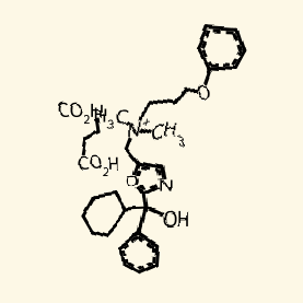 C[N+](C)(CCCOc1ccccc1)Cc1cnc(C(O)(c2ccccc2)C2CCCCC2)o1.O=C(O)CCC(=O)O